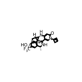 C[C@@H](NC(=O)c1cn(C23CC(C2)C3)c(=O)cc1N[C@@H]1[C@@H]2CN(C(=O)O)C[C@@H]21)c1cccc(C(F)(F)F)c1